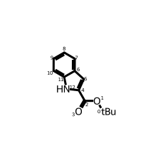 CC(C)(C)OC(=O)c1[c]c2ccccc2[nH]1